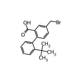 CC(C)(C)c1ccccc1-c1ccc(CBr)cc1C(=O)O